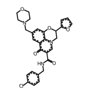 O=C(NCc1ccc(Cl)cc1)c1cn2c3c(cc(CN4CCOCC4)cc3c1=O)OC(c1ccco1)C2